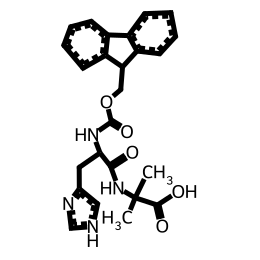 CC(C)(NC(=O)C(Cc1c[nH]cn1)NC(=O)OCC1c2ccccc2-c2ccccc21)C(=O)O